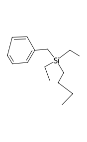 CCCC[Si](CC)(CC)Cc1ccccc1